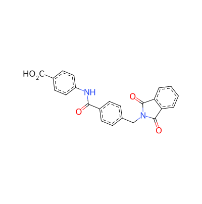 O=C(O)c1ccc(NC(=O)c2ccc(CN3C(=O)c4ccccc4C3=O)cc2)cc1